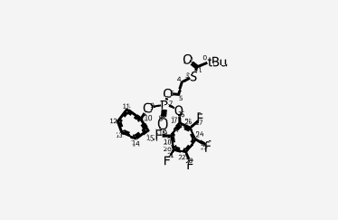 CC(C)(C)C(=O)SCCOP(=O)(Oc1ccccc1)Oc1c(F)c(F)c(F)c(F)c1F